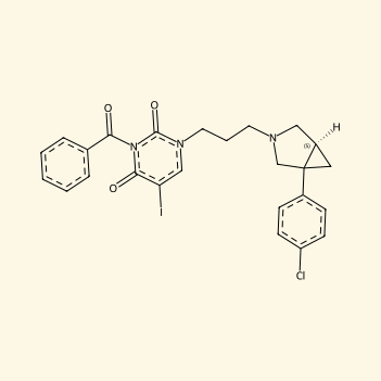 O=C(c1ccccc1)n1c(=O)c(I)cn(CCCN2C[C@H]3CC3(c3ccc(Cl)cc3)C2)c1=O